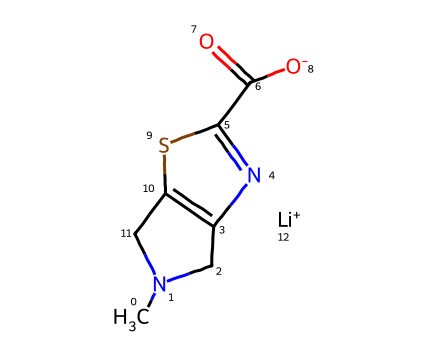 CN1Cc2nc(C(=O)[O-])sc2C1.[Li+]